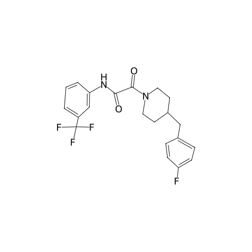 O=C(Nc1cccc(C(F)(F)F)c1)C(=O)N1CCC(Cc2ccc(F)cc2)CC1